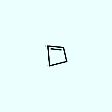 [C]1=CC[CH]1